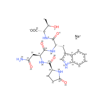 C[C@@H](O)[C@H](NC(=O)[C@H](Cc1c[nH]c2ccccc12)NC(=O)[C@H](CC(N)=O)NC(=O)[C@@H]1CCC(=O)N1)C(=O)[O-].[Na+]